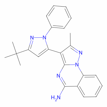 Cc1nn2c(nc(N)c3ccccc32)c1-c1cc(C(C)(C)C)nn1-c1ccccc1